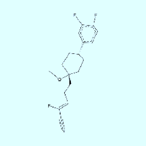 CO[C@]1(CCC=C(F)C#N)CC[C@H](c2ccc(F)c(F)c2)CC1